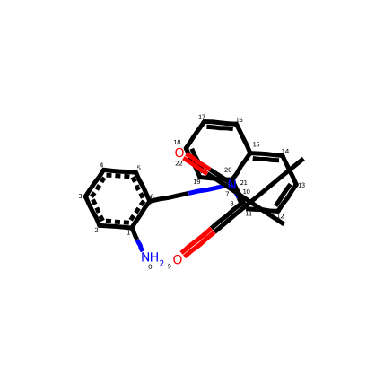 Nc1ccccc1N1C(=O)CC2C=CC=C3C=CC=CC32C1=O